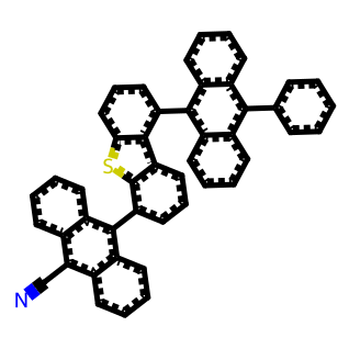 N#Cc1c2ccccc2c(-c2cccc3c2sc2cccc(-c4c5ccccc5c(-c5ccccc5)c5ccccc45)c23)c2ccccc12